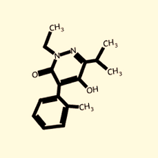 CCn1nc(C(C)C)c(O)c(-c2ccccc2C)c1=O